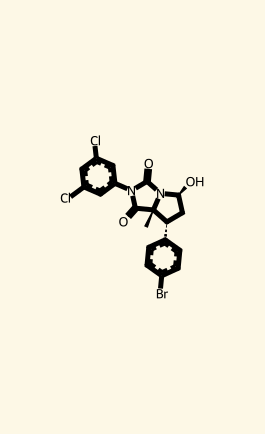 C[C@@]12C(=O)N(c3cc(Cl)cc(Cl)c3)C(=O)N1[C@@H](O)C[C@@H]2c1ccc(Br)cc1